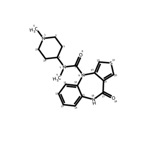 CN1CCC(N(C)C(=O)N2c3ccccc3NC(=O)c3cscc32)CC1